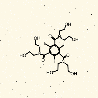 O=C(c1c(I)c(C(=O)N(CCO)CCO)c(I)c(C(=O)N(CCO)CCO)c1I)N(CCO)CCO